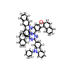 c1ccc(-n2c3ccccc3c3ccc(-c4nc(-c5cc6c(cc5-n5c7ccccc7c7cc8ccccc8cc75)oc5ccc7ccccc7c56)nc(-c5cccc6ccccc56)n4)cc32)cc1